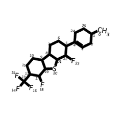 CC1CC=C(C2CCC3C4CCC(C(F)(F)F)C(F)C4SC3C2F)CC1